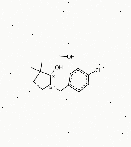 CC1(C)CC[C@@H](Cc2ccc(Cl)cc2)[C@H]1O.CO